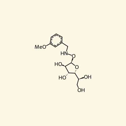 COc1cccc(CNO[C@H]2O[C@H]([C@@H](O)CO)[C@H](O)[C@H]2O)c1